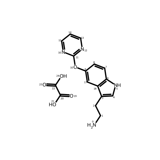 NCCc1c[nH]c2ccc(Oc3ncccn3)cc12.O=C(O)C(=O)O